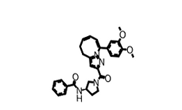 COc1ccc(/C2=C/C=C\CCc3cc(C(=O)N4CC[C@@H](NC(=O)c5ccccc5)C4)nn32)cc1OC